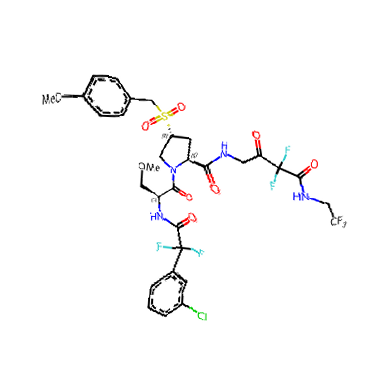 COC[C@H](NC(=O)C(F)(F)c1cccc(Cl)c1)C(=O)N1C[C@H](S(=O)(=O)Cc2ccc(OC)cc2)C[C@H]1C(=O)NCC(=O)C(F)(F)C(=O)NCC(F)(F)F